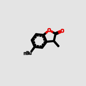 CCCCc1ccc2c(c1)C(C)C(=O)O2